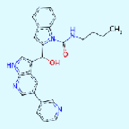 CCCCNC(=O)n1c(C(O)c2c[nH]c3ncc(-c4cccnc4)cc23)cc2ccccc21